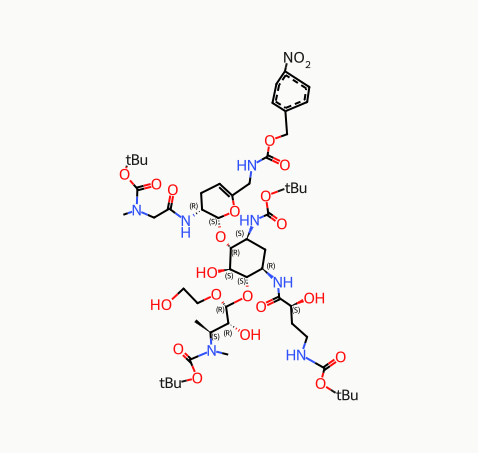 C[C@@H]([C@@H](O)[C@H](OCCO)O[C@@H]1[C@@H](O)[C@H](O[C@H]2OC(CNC(=O)OCc3ccc([N+](=O)[O-])cc3)=CC[C@H]2NC(=O)CN(C)C(=O)OC(C)(C)C)[C@@H](NC(=O)OC(C)(C)C)C[C@H]1NC(=O)[C@@H](O)CCNC(=O)OC(C)(C)C)N(C)C(=O)OC(C)(C)C